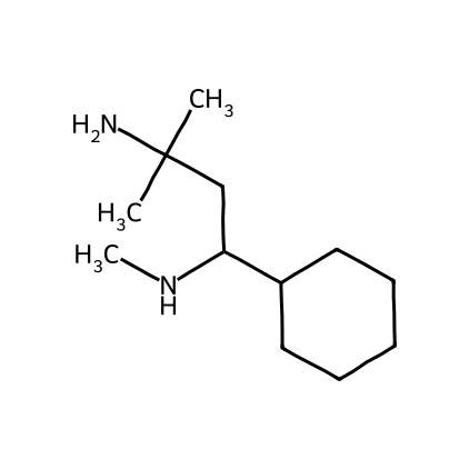 CNC(CC(C)(C)N)C1CCCCC1